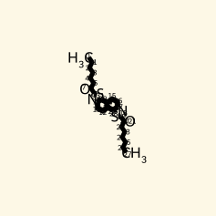 CCCCCCC(=O)c1nc2ccc3c(ccc4nc(C(=O)CCCCCC)sc43)c2s1